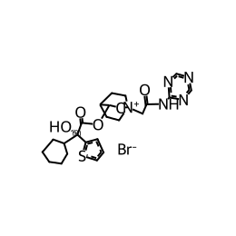 O=C(C[N+]12CCC(CC1)C(OC(=O)[C@@](O)(c1cccs1)C1CCCCC1)C2)Nc1ncncn1.[Br-]